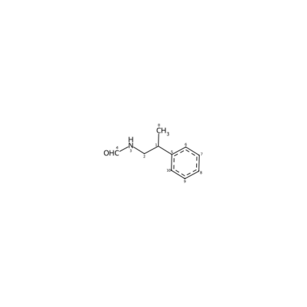 CC(CNC=O)c1ccccc1